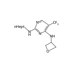 CCCCCCCNc1ncc(C(F)(F)F)c(NC2COC2)n1